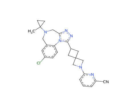 CC1(N2Cc3cc(Cl)ccc3-n3c(nnc3C3CC4(C3)CN(c3cccc(C#N)n3)C4)C2)CC1